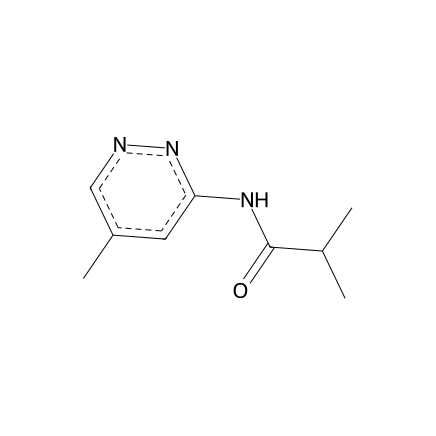 Cc1cnnc(NC(=O)C(C)C)c1